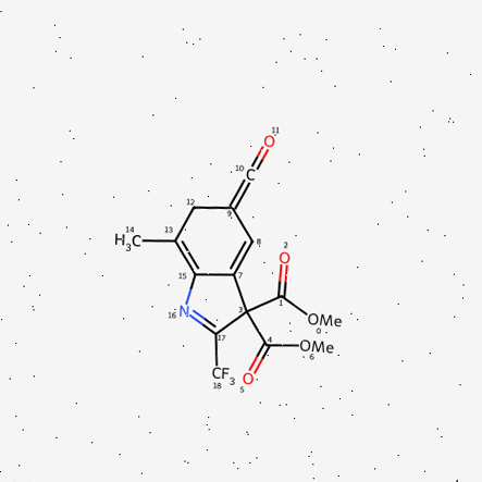 COC(=O)C1(C(=O)OC)C2=CC(=C=O)CC(C)=C2N=C1C(F)(F)F